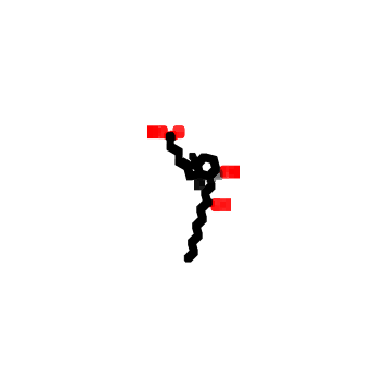 CCCCCCCC(O)CC[C@@H]1[C@@H](O)CC[C@@]2(C)C(=CCCC(=O)O)C[C@@H]12